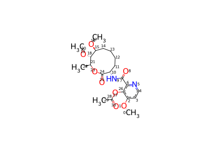 COc1ccnc(C(=O)N[C@H]2CCCC[C@H](OC)[C@@H](OC)[C@H](C)OC2=O)c1OC(C)=O